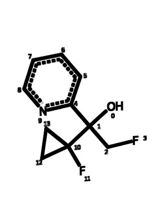 OC(CF)(c1ccccn1)C1(F)CC1